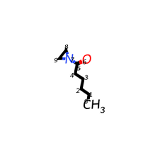 CCCCCC(=O)N1CC1